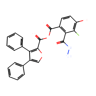 NNC(=O)c1c(C(=O)OC(=O)c2occ(-c3ccccc3)c2-c2ccccc2)ccc(O)c1F